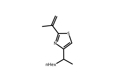 C=C(C)c1nc(C(C)CCCCCC)cs1